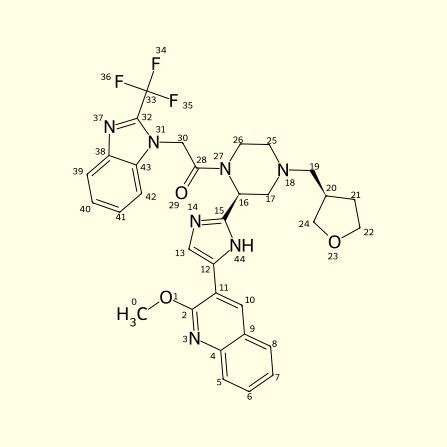 COc1nc2ccccc2cc1-c1cnc([C@@H]2CN(C[C@H]3CCOC3)CCN2C(=O)Cn2c(C(F)(F)F)nc3ccccc32)[nH]1